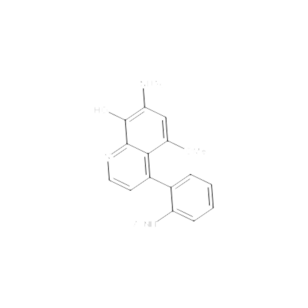 COc1cc(NC(C)=O)c(O)c2nccc(-c3ccccc3NC(C)=O)c12